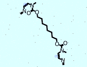 C=N/C=C\N(C)C(=O)OCCCCCCCCOC(=O)N(C)/C=C\N=C